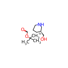 CC(C)(C)OC=O.OC[C@H]1CCCNC1